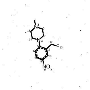 CN1CCN(c2ccc([N+](=O)[O-])cc2CF)CC1